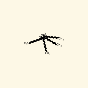 CCCCCCCC/C=C/C1(/C=C/CCCCCCCC)C(=O)OC(=O)C1(/C=C/CCCCCCCC)/C=C/CCCCCCCC